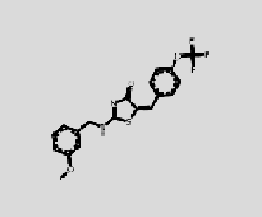 COc1cccc(CNC2=NC(=O)/C(=C\c3ccc(OC(F)(F)F)cc3)S2)c1